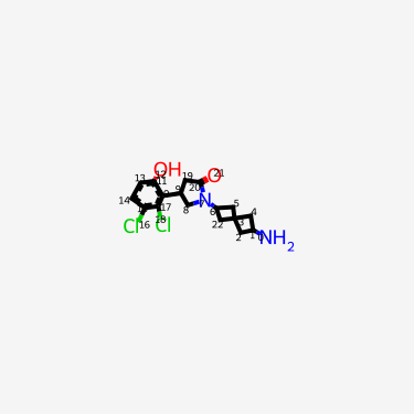 NC1CC2(C1)CC(N1CC(c3c(O)ccc(Cl)c3Cl)CC1=O)C2